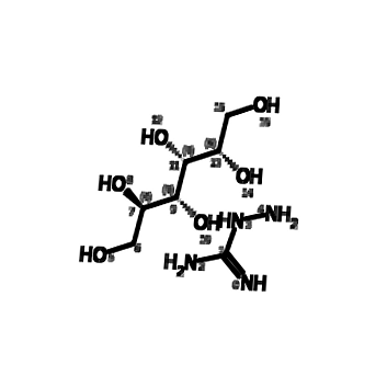 N=C(N)NN.OC[C@@H](O)[C@@H](O)[C@H](O)[C@@H](O)CO